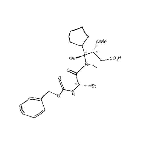 CO[C@H](CC(=O)O)[C@@](C1CCCC1)(N(C)C(=O)[C@@H](NC(=O)OCc1ccccc1)C(C)C)C(C)(C)C